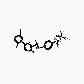 CP(=O)(O)OS(=O)(=O)c1ccc(NC(=O)c2nc(-c3cc(F)ccc3Cl)cnc2N)cc1